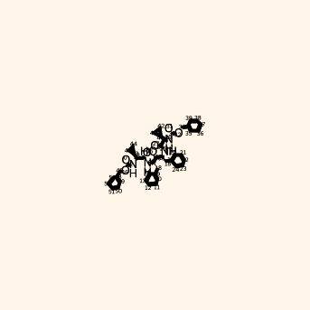 O=C(NC(C(=O)N[C@@H](Cc1ccccc1)C(O)[C@H](Cc1ccccc1)NC(=O)C(NC(=O)OCc1ccccc1)C1CC1)C1CC1)OCc1ccccc1